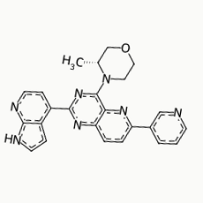 C[C@@H]1COCCN1c1nc(-c2ccnc3[nH]ccc23)nc2ccc(-c3cccnc3)nc12